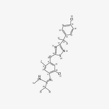 CNC(=Nc1cc(C)c(Oc2nc(C(C)(C)c3ccc(Cl)cc3)ns2)cc1Cl)C(C)C